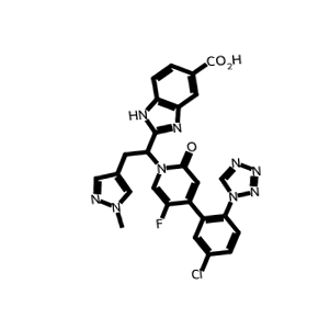 Cn1cc(CC(c2nc3cc(C(=O)O)ccc3[nH]2)n2cc(F)c(-c3cc(Cl)ccc3-n3cnnn3)cc2=O)cn1